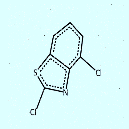 Clc1nc2c(Cl)cccc2s1